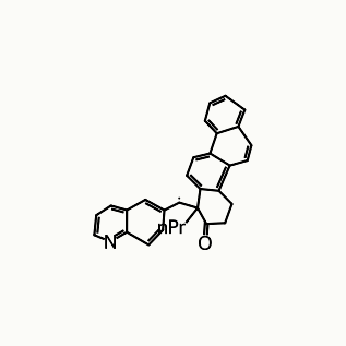 CCCC1([CH]c2ccc3ncccc3c2)C(=O)CCc2c1ccc1c2ccc2ccccc21